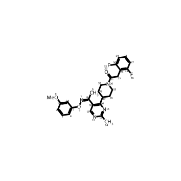 COc1cccc(O/N=C(/C)c2cnc(C)nc2C2CCN(C(=O)Cc3c(F)cccc3F)CC2)c1